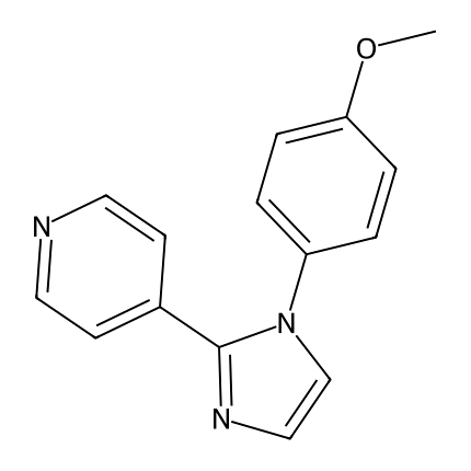 COc1ccc(-n2ccnc2-c2ccncc2)cc1